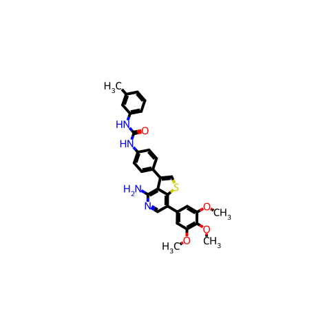 COc1cc(-c2cnc(N)c3c(-c4ccc(NC(=O)Nc5cccc(C)c5)cc4)csc23)cc(OC)c1OC